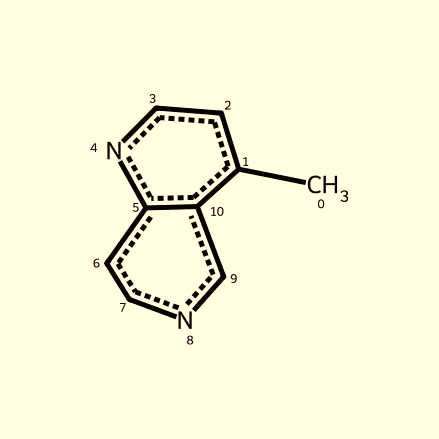 Cc1ccnc2ccncc12